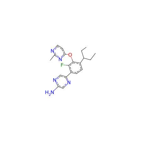 CCC(CC)c1ccc(-c2cnc(N)cn2)c(F)c1Oc1ccnc(C)n1